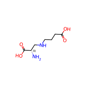 N[C@@H](CNCCCC(=O)O)C(=O)O